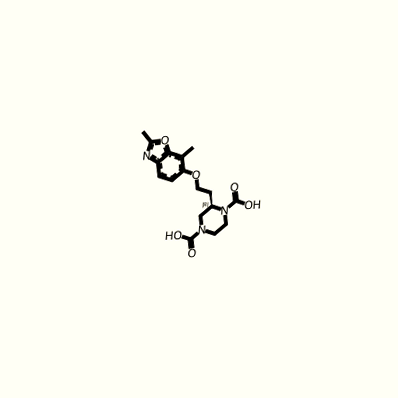 Cc1nc2ccc(OCC[C@@H]3CN(C(=O)O)CCN3C(=O)O)c(C)c2o1